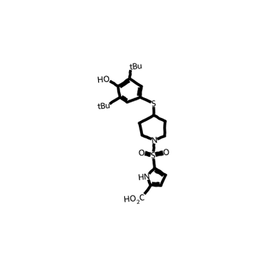 CC(C)(C)c1cc(SC2CCN(S(=O)(=O)c3ccc(C(=O)O)[nH]3)CC2)cc(C(C)(C)C)c1O